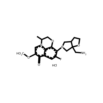 CC1COc2c(N3CC4CCOC4(CN)C3)c(F)cc3c(=O)c(OC(=O)O)cn1c23.Cl